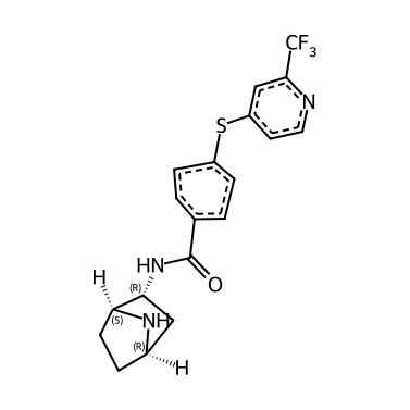 O=C(N[C@@H]1C[C@H]2CC[C@@H]1N2)c1ccc(Sc2ccnc(C(F)(F)F)c2)cc1